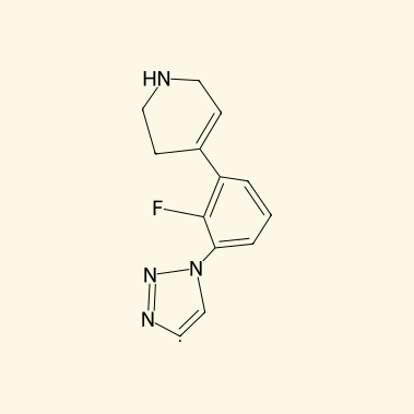 Fc1c(C2=CCNCC2)cccc1-n1c[c]nn1